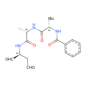 C[C@H](NC(=O)[C@@H](NC(=O)c1ccccc1)C(C)(C)C)C(=O)N[C@H](C=O)CC=O